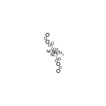 CC(C#N)(CCC(=O)Oc1ccc(Oc2ccccc2)cc1)N=NC(C)(C#N)CCC(=O)Oc1ccc(Oc2ccccc2)cc1